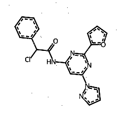 O=C(Nc1cc(-n2cccn2)nc(-c2ccco2)n1)C(Cl)c1ccccc1